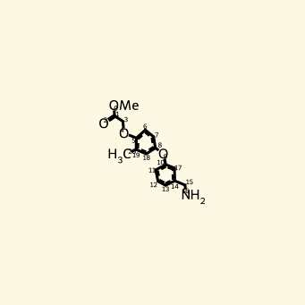 COC(=O)COc1ccc(Oc2cccc(CN)c2)cc1C